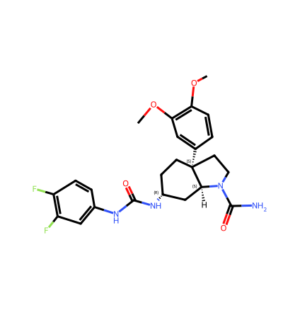 COc1ccc([C@@]23CC[C@@H](NC(=O)Nc4ccc(F)c(F)c4)C[C@@H]2N(C(N)=O)CC3)cc1OC